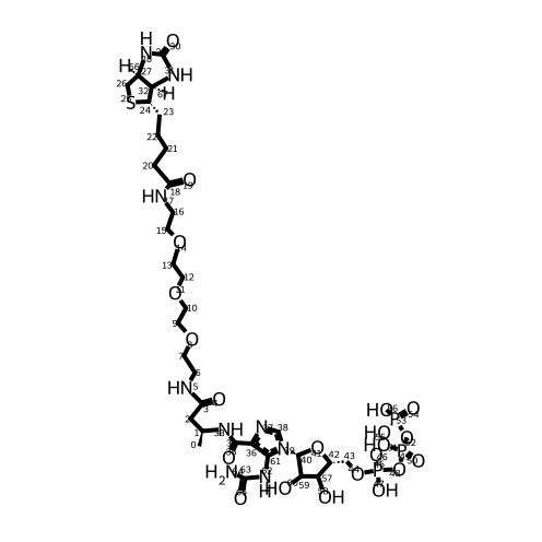 C[C@@H](CC(=O)NCCOCCOCCOCCNC(=O)CCCC[C@@H]1SC[C@H]2NC(=O)N[C@@H]12)NC(=O)c1ncn([C@@H]2O[C@H](COP(=O)(O)OP(=O)(O)OP(=O)(O)O)C(O)C2O)c1NC(N)=O